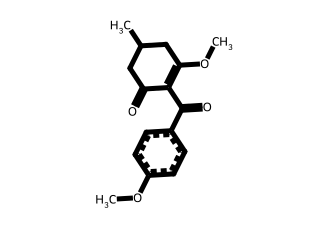 COC1=C(C(=O)c2ccc(OC)cc2)C(=O)CC(C)C1